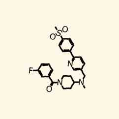 CN(Cc1ccc(-c2ccc(S(C)(=O)=O)cc2)nc1)C1CCN(C(=O)c2cccc(F)c2)CC1